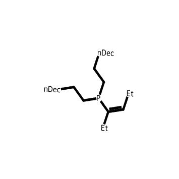 CCC=C(CC)P(CCCCCCCCCCCC)CCCCCCCCCCCC